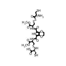 COC(=O)C(CSN[C@@H](CS)C(=O)S)NC(=O)c1[nH]c(C(=O)NC(CSSC(=O)[C@@H](N)CS)C(=O)OC)c2c1OCCO2